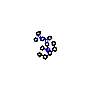 c1ccc(-c2cccc(-c3ccc(-c4cccc(-c5ccccc5)c4)c4nc(-c5ccc(N(c6ccccc6)c6ccc(N(c7ccccc7)c7ccccc7)cc6)cc5)c(-c5ccccc5)nc34)c2)cc1